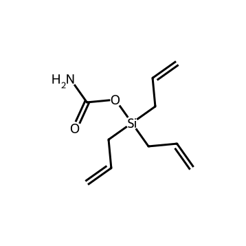 C=CC[Si](CC=C)(CC=C)OC(N)=O